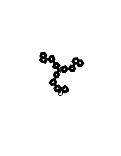 c1cc(-c2ccc(N(c3ccc(-c4cccc(-c5cccc6ccccc56)c4)cc3)c3ccc(-c4cccc(-c5cccc6ccccc56)c4)cc3)cc2)cc(-c2ccc3oc4ccccc4c3c2)c1